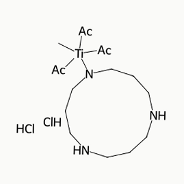 C[C](=O)[Ti]([CH3])([C](C)=O)([C](C)=O)[N]1CCCNCCCNCCC1.Cl.Cl